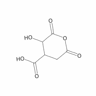 O=C1CC(C(=O)O)C(O)C(=O)O1